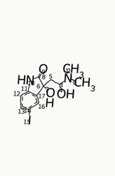 CN(C)C(O)CC1(O)C(=O)Nc2ccc(I)cc21